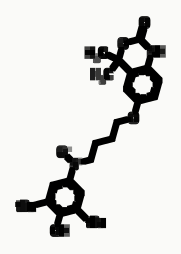 CC(C)(C)c1cc([S+]([O-])CCCCOc2ccc3c(c2)C(C)(C)OC(=O)N3)cc(C(C)(C)C)c1O